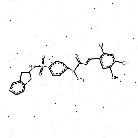 CN(C(=O)/C=C/c1cc(O)c(O)cc1Cl)c1ccc(S(=O)(=O)NC2Cc3ccccc3C2)cc1